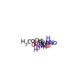 Cc1ccc(C)c(S(=O)(=O)NCC(=O)N2C[C@@H]3C[C@H]2CN3C(=O)[C@@H](NC(=O)c2cc3ccccc3[nH]2)C(C)(C)C)c1